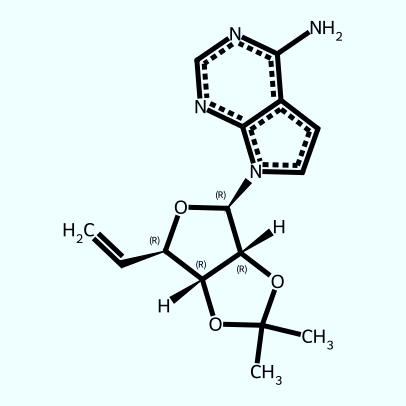 C=C[C@H]1O[C@@H](n2ccc3c(N)ncnc32)[C@@H]2OC(C)(C)O[C@@H]21